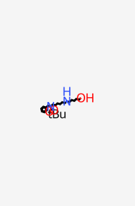 CC(C)(C)OC(=O)N(CCCCCCNCCCCCO)Cc1ccccc1